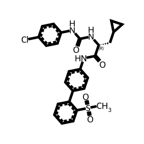 CS(=O)(=O)c1ccccc1-c1ccc(NC(=O)[C@@H](CC2CC2)NC(=O)Nc2ccc(Cl)cc2)cc1